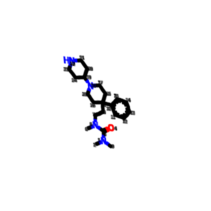 CN(C)C(=O)N(C)CCC1(c2ccccc2)CCN(C2CCNCC2)CC1